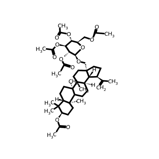 C=C(C)[C@@H]1CC[C@]2(CO[C@@H]3O[C@H](COC(C)=O)[C@@H](OC(C)=O)[C@H](OC(C)=O)[C@H]3OC(C)=O)CC[C@]3(C)[C@H](CCC4[C@@]5(C)CC[C@@H](OC(C)=O)C(C)(C)[C@@H]5CC[C@]43C)[C@@H]12